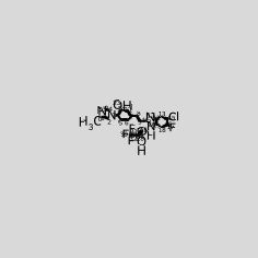 Cc1cn(-c2ccc(C=Cc3nc4cc(Cl)c(F)cc4[nH]3)cc2O)cn1.O=C(O)C(F)(F)F